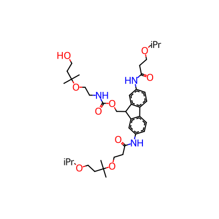 CC(C)OCCC(=O)Nc1ccc2c(c1)C(COC(=O)NCCOC(C)(C)CCO)c1cc(NC(=O)CCOC(C)(C)CCOC(C)C)ccc1-2